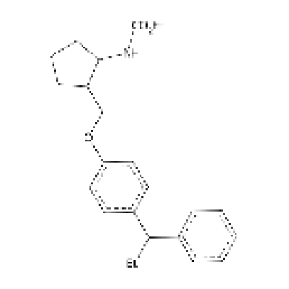 CCOC(=O)NC1CCCC1COc1ccc(C(CC)c2ccccc2)cc1